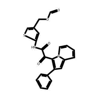 O=COCc1csc(NC(=O)C(=O)c2c(-c3ccccc3)cc3ccccn23)c1